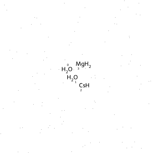 O.O.[CsH].[MgH2]